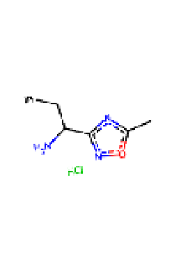 Cc1nc(C(N)CC(C)C)no1.Cl